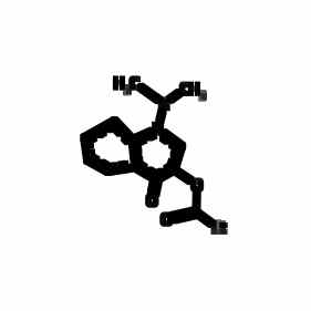 CCC(=O)Oc1cn(N(C)C)c2ccccc2c1=O